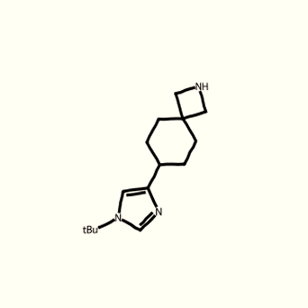 CC(C)(C)n1cnc(C2CCC3(CC2)CNC3)c1